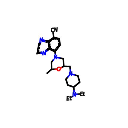 CCN(CC)C1CCN(CC2CN(c3ccc(C#N)c4nccnc34)CC(C)O2)CC1